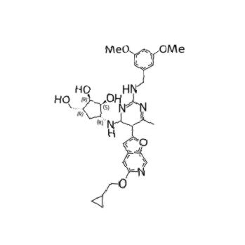 COc1cc(CNC2=NC(N[C@@H]3C[C@H](CO)[C@@H](O)[C@H]3O)C(c3cc4cc(OCC5CC5)ncc4o3)C(C)=N2)cc(OC)c1